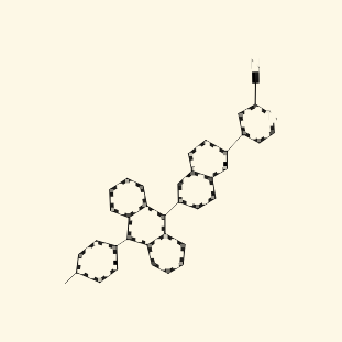 Cc1ccc(-c2c3ccccc3c(-c3ccc4cc(-c5ccnc(C#N)c5)ccc4c3)c3ccccc23)cc1